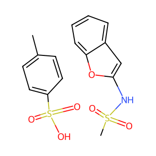 CS(=O)(=O)Nc1cc2ccccc2o1.Cc1ccc(S(=O)(=O)O)cc1